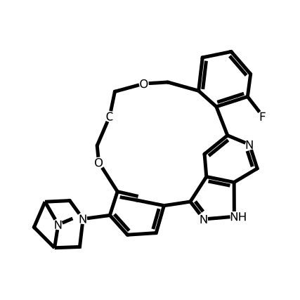 CN1C2CC1CN(c1ccc3cc1OCCCOCc1cccc(F)c1-c1cc4c-3n[nH]c4cn1)C2